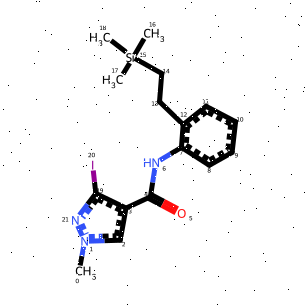 Cn1cc(C(=O)Nc2ccccc2CC[Si](C)(C)C)c(I)n1